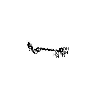 Cc1nc(C)c(CC(=O)N2CCOC3(CCN(CCCCCCCCCNCC(O)c4ccc(O)c5[nH]c(=O)sc45)CC3)C2)s1